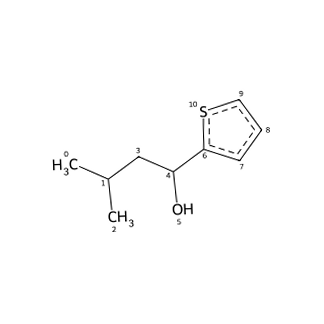 CC(C)CC(O)c1cccs1